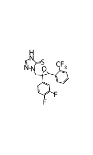 Fc1ccc(C2(Cn3nc[nH]c3=S)OC2c2ccccc2C(F)(F)F)cc1F